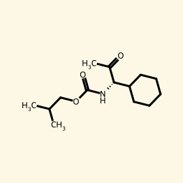 CC(=O)[C@@H](NC(=O)OCC(C)C)C1CCCCC1